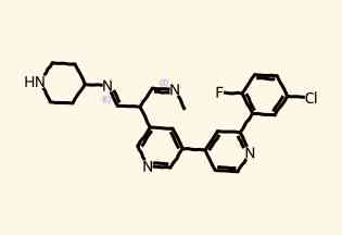 C/N=C\C(/C=N/C1CCNCC1)c1cncc(-c2ccnc(-c3cc(Cl)ccc3F)c2)c1